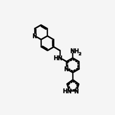 Nc1ccc(-c2cn[nH]c2)nc1NCC1=CC2C=CC=NC2C=C1